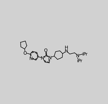 CC(C)N(CCNC1CCC(n2ccn(-c3ccc(OC4CCCC4)nc3)c2=O)CC1)C(C)C